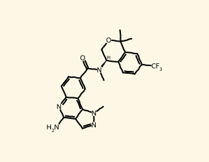 CN(C(=O)c1ccc2nc(N)c3cnn(C)c3c2c1)[C@H]1COC(C)(C)c2cc(C(F)(F)F)ccc21